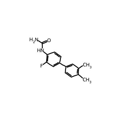 Cc1ccc(-c2ccc(NC(N)=O)c(F)c2)cc1C